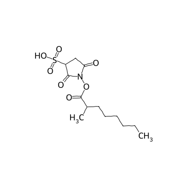 CCCCCCC(C)C(=O)ON1C(=O)CC(S(=O)(=O)O)C1=O